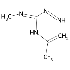 C=C(N/C(N=N)=N\C)C(F)(F)F